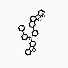 c1ccc(-c2cccc(N(c3cccc(-c4ccc5ccc6c7cccnc7oc6c5c4)c3)c3ccc4oc5ccccc5c4c3)c2)cc1